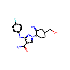 N=C1CC(CO)CC[C@H]1n1cc(C(N)=O)c(Nc2ccc(F)cc2)n1